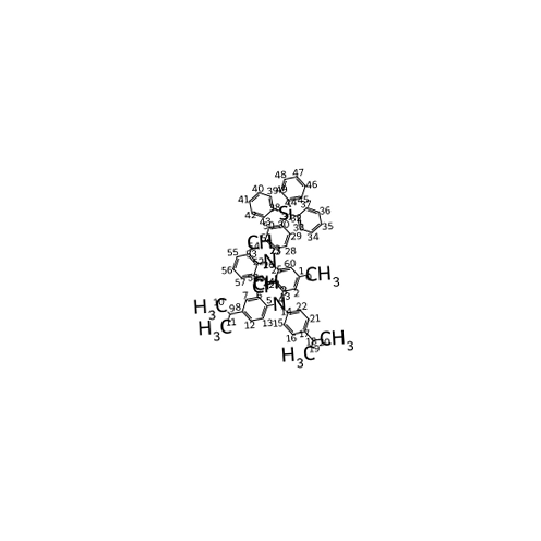 Cc1cc(N(c2ccc(C(C)C)cc2)c2ccc(C(C)C)cc2)c(Cl)c(N(c2ccc([Si](c3ccccc3)(c3ccccc3)c3ccccc3)cc2)c2c(C)cccc2C)c1